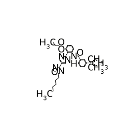 CCCCCCc1nc(-c2cnc(-c3c(NC(=O)c4cccc(C(C)(C)C)c4)cccc3OC(=O)CC)nc2)no1